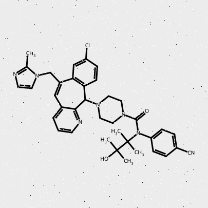 Cc1nccn1CC1=Cc2cccnc2C(N2CCN(C(=O)N(c3ccc(C#N)cc3)C(C)(C)C(C)(C)O)CC2)c2ccc(Cl)cc21